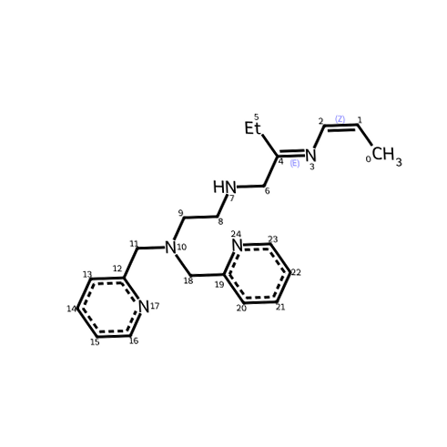 C/C=C\N=C(/CC)CNCCN(Cc1ccccn1)Cc1ccccn1